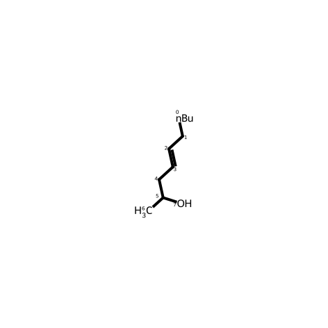 CCCCCC=CCC(C)O